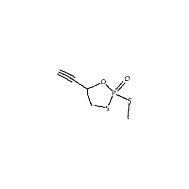 C#CC1CSP(=O)(SC)O1